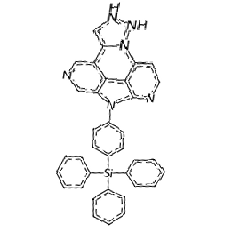 c1ccc([Si](c2ccccc2)(c2ccccc2)c2ccc(-n3c4cncc5c6c[nH][nH]n-6c6ccnc3c6c54)cc2)cc1